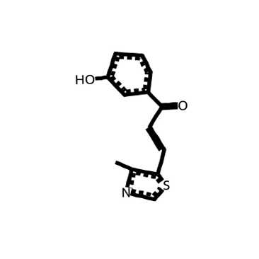 Cc1ncsc1/C=C/C(=O)c1cccc(O)c1